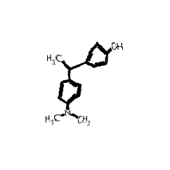 CC(c1ccc(O)cc1)c1ccc(N(C)C)cc1